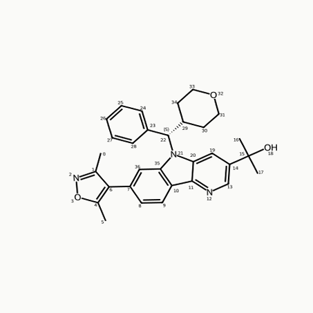 Cc1noc(C)c1-c1ccc2c3ncc(C(C)(C)O)cc3n([C@H](c3ccccc3)C3CCOCC3)c2c1